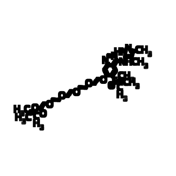 Cc1n[nH]c(Nc2ncnc3cc(OCCOCCOCCOCCOCC(=O)OC(C)(C)C)c([S+]([O-])C(C)(C)C)cc23)c1C